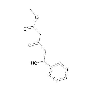 COC(=O)CC(=O)CC(O)c1ccccc1